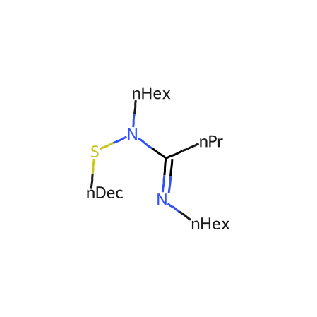 CCCCCCCCCCSN(CCCCCC)C(CCC)=NCCCCCC